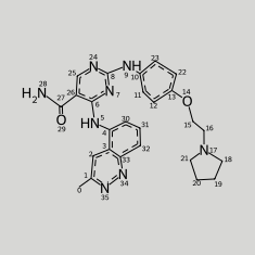 Cc1cc2c(Nc3nc(Nc4ccc(OCCN5CCCC5)cc4)ncc3C(N)=O)cccc2nn1